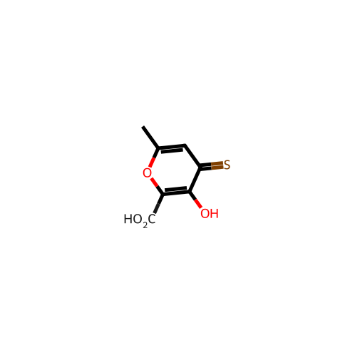 Cc1cc(=S)c(O)c(C(=O)O)o1